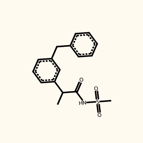 CC(C(=O)NS(C)(=O)=O)c1cccc(Cc2ccccc2)c1